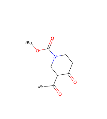 CC(C)C(=O)C1CN(C(=O)OC(C)(C)C)CCC1=O